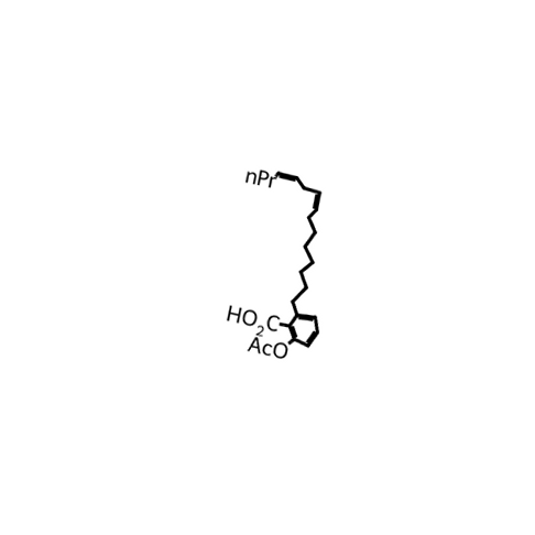 CCC/C=C\C/C=C\CCCCCCCc1cccc(OC(C)=O)c1C(=O)O